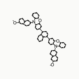 COc1ccc2cc(N3c4ccccc4Oc4cc(-c5ccc(-c6ccc7c(c6)Oc6ccccc6N7c6ccc7cc(OC)ccc7c6)c6ccccc56)ccc43)ccc2c1